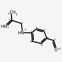 CC(=N)CNc1ccc(C=O)cc1